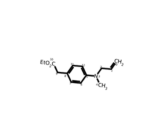 C=CCN(C)c1ccc(CC(=O)OCC)cc1